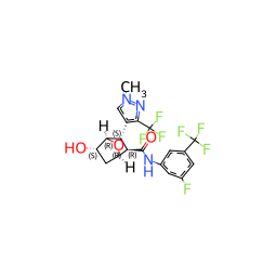 Cn1cc([C@H]2[C@H]3O[C@H](C[C@@H]3O)[C@@H]2C(=O)Nc2cc(F)cc(C(F)(F)F)c2)c(C(F)(F)F)n1